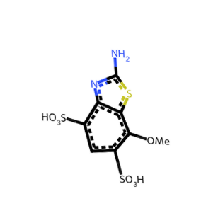 COc1c(S(=O)(=O)O)cc(S(=O)(=O)O)c2nc(N)sc12